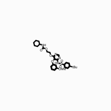 COc1cccc(Oc2c(NS(=O)(=O)c3ccc(C(C)(C)C)cc3)ncnc2OCCOC(=O)NC2CCCCC2)c1